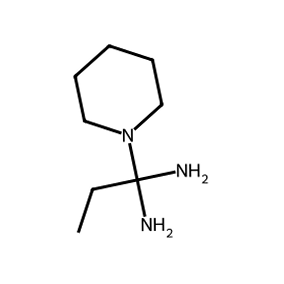 CCC(N)(N)N1CCCCC1